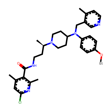 CCOc1ccc(N(Cc2cnccc2C)C2CCN([C@H](C)CCNC(=O)c3c(C)cc(Cl)nc3C)CC2)cc1